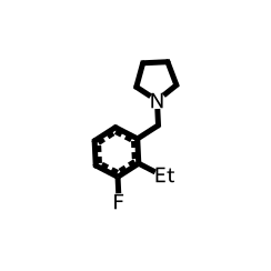 CCc1c(F)cccc1CN1CCCC1